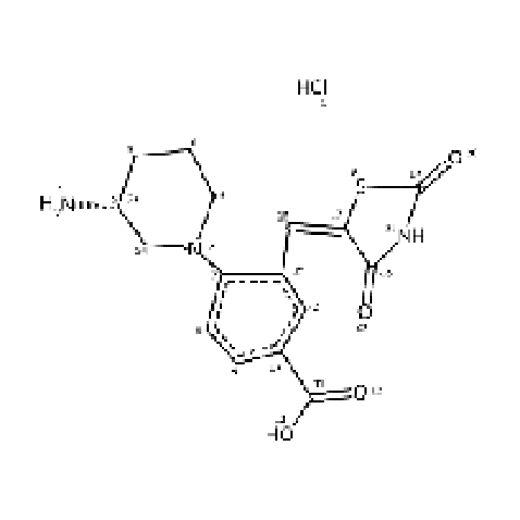 Cl.N[C@@H]1CCCN(c2ccc(C(=O)O)cc2C=C2SC(=O)NC2=O)C1